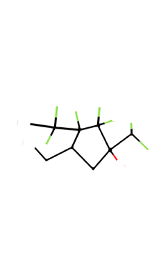 CCC1CC(O)(C(F)F)C(F)(F)C1(F)C(C)(F)F